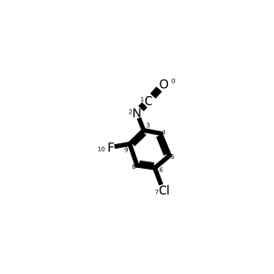 O=C=Nc1ccc(Cl)cc1F